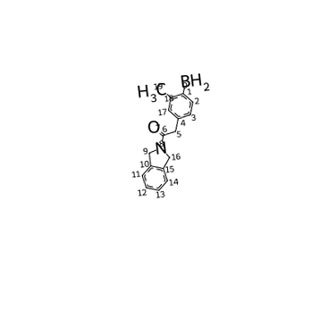 Bc1ccc(CC(=O)N2Cc3ccccc3C2)cc1C